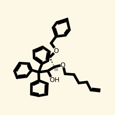 C=CCCCCO[C@@H](COCc1ccccc1)C(O)C(c1ccccc1)(c1ccccc1)c1ccccc1